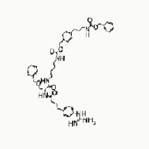 N=C(N)Nc1ccc(CCCC(=O)N[C@@H](COCc2ccccc2)C(=O)NCCCCNC(=O)OCc2ccc(CCCNC(=O)OCc3ccccc3)cc2)cc1